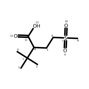 CC(C)(C)C(CCS(C)(=O)=O)C(=O)O